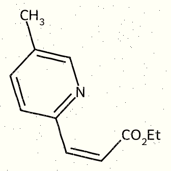 CCOC(=O)/C=C\c1ccc(C)cn1